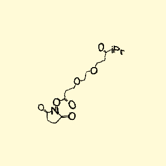 CC(C)C(=O)CCOCCOCCC(=O)ON1C(=O)CCC1=O